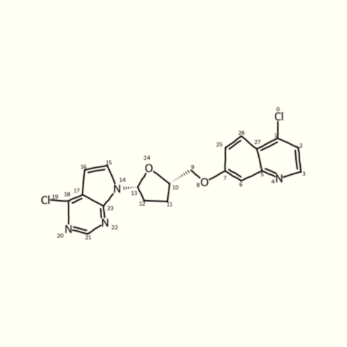 Clc1ccnc2cc(OC[C@@H]3CC[C@H](n4ccc5c(Cl)ncnc54)O3)ccc12